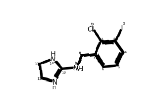 Clc1c(I)cccc1CNC1=NCCN1